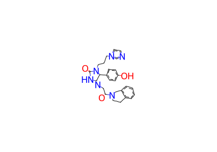 O=C(CN=C1NC(=O)N(CCCn2ccnc2)C1c1ccc(O)cc1)N1CCc2ccccc2C1